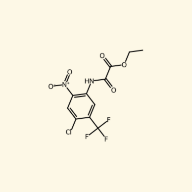 CCOC(=O)C(=O)Nc1cc(C(F)(F)F)c(Cl)cc1[N+](=O)[O-]